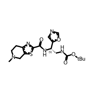 CN1CCc2nc(C(=O)N[C@@H](CNC(=O)OC(C)(C)C)c3cnco3)sc2C1